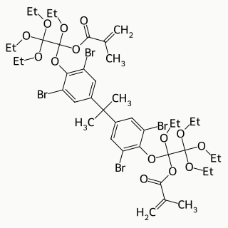 C=C(C)C(=O)OC(OCC)(Oc1c(Br)cc(C(C)(C)c2cc(Br)c(OC(OCC)(OC(=O)C(=C)C)C(OCC)(OCC)OCC)c(Br)c2)cc1Br)C(OCC)(OCC)OCC